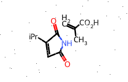 C=C(C)C(=O)O.CC(C)C1=CC(=O)NC1=O